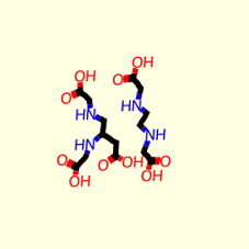 O=C(O)CNCC(CC(=O)O)NCC(=O)O.O=C(O)CNCCNCC(=O)O